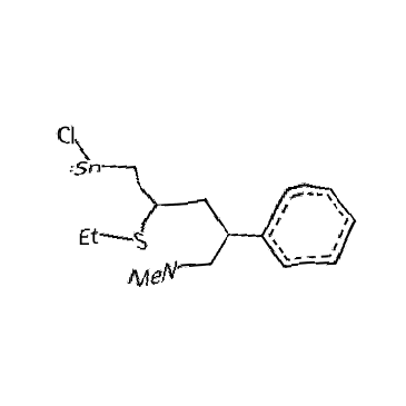 CCSC([CH2][Sn][Cl])CC(CNC)c1ccccc1